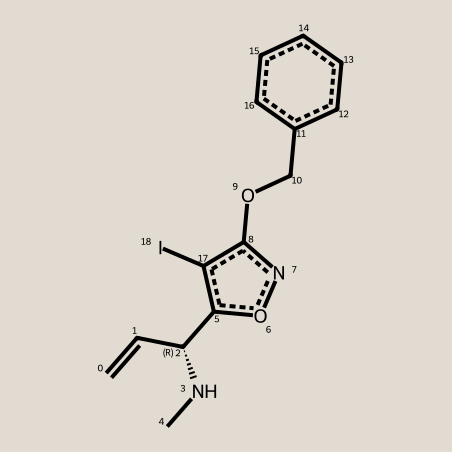 C=C[C@@H](NC)c1onc(OCc2ccccc2)c1I